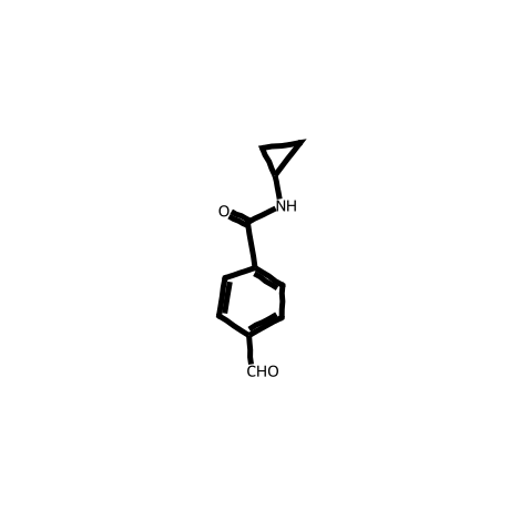 O=Cc1ccc(C(=O)NC2CC2)cc1